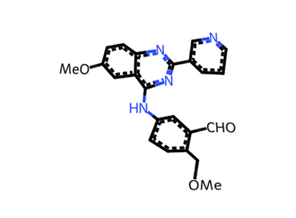 COCc1ccc(Nc2nc(-c3cccnc3)nc3ccc(OC)cc23)cc1C=O